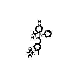 CS(=O)(=O)Nc1ccc(CC2NC(=O)C3(CCNCC3)N2c2ccccc2)cc1